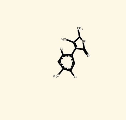 Cc1cc(Cl)c(C2=C(O)C(C)NC2=O)cc1Cl